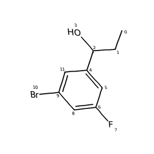 CC[C](O)c1cc(F)cc(Br)c1